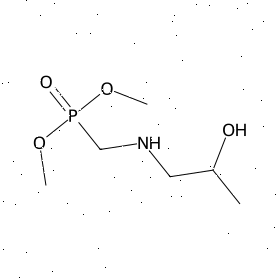 COP(=O)(CNCC(C)O)OC